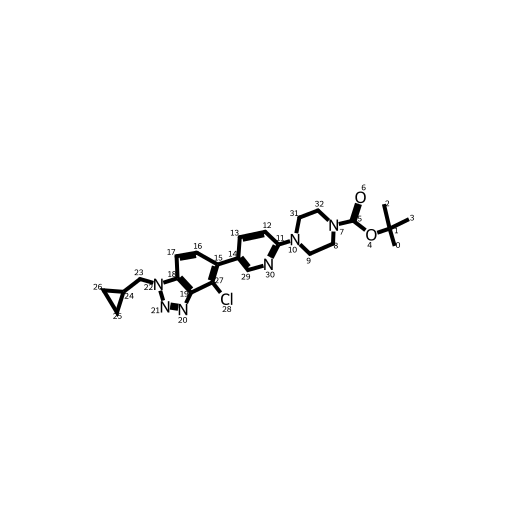 CC(C)(C)OC(=O)N1CCN(c2ccc(-c3ccc4c(nnn4CC4CC4)c3Cl)cn2)CC1